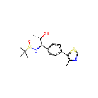 Cc1ncsc1-c1ccc([C@@H](N[S@@+]([O-])C(C)(C)C)[C@H](C)O)cc1